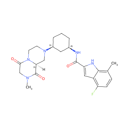 Cc1ccc(F)c2cc(C(=O)N[C@@H]3CCC[C@H](N4CCN5C(=O)CN(C)C(=O)[C@@H]5C4)C3)[nH]c12